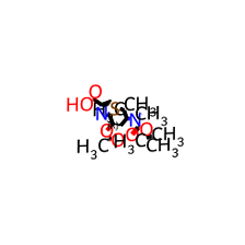 CC(=O)O[C@H](CC(C(C)C)N(C)C(=O)OC(C)(C)C)c1nc(C(=O)O)cs1